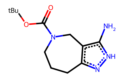 CC(C)(C)OC(=O)N1CCCc2n[nH]c(N)c2C1